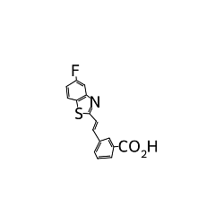 O=C(O)c1cccc(/C=C/c2nc3cc(F)ccc3s2)c1